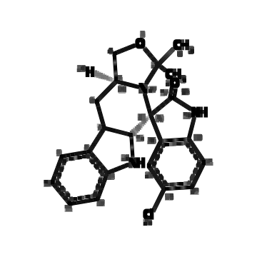 CC1(C)OC[C@@H]2CC3c4ccccc4NC3[C@@]3(C(=O)Nc4ccc(Cl)cc43)N21